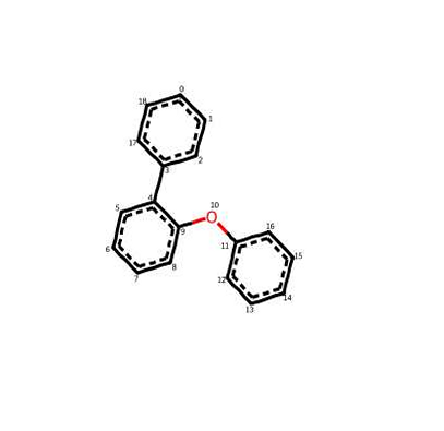 [c]1ccc(-c2ccccc2Oc2ccccc2)cc1